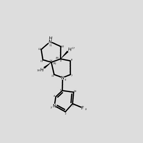 Fc1cncc(N2CC[C@H]3CNCC[C@H]3C2)c1